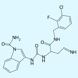 N=CCC(NC(=O)Nc1cn(C(N)=O)c2ccccc12)C(=O)NCc1cccc(Cl)c1F